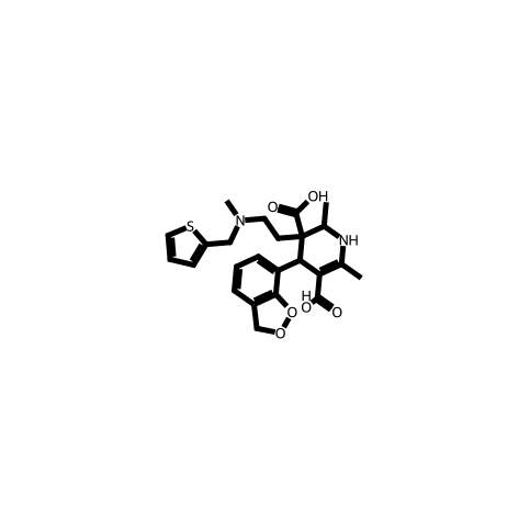 CC1=C(C(=O)O)C(c2cccc3c2OOC3)C(CCN(C)Cc2cccs2)(C(=O)O)C(C)N1